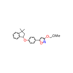 COCOc1cc(-c2ccc(OC3CC(C)(C)c4ccccc43)cc2)on1